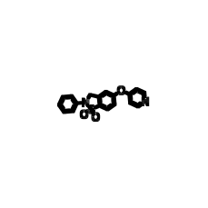 O=S1(=O)c2ccc(Oc3ccncc3)cc2CN1c1ccccc1